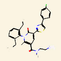 CCc1cccc(CC)c1-n1c(C)c(C(=O)N(C)CCN)cc(-c2nc(-c3ccc(Cl)cc3)cs2)c1=O